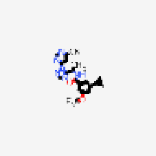 CC(NC(=O)c1cc(OC(F)(F)F)cc(C2CC2)c1)c1ncnn1-c1cc(C#N)ncn1